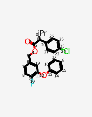 CC(C)C(C(=O)OCc1ccc(F)c(Oc2ccccc2)c1)c1ccc(Cl)cc1